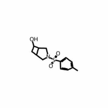 Cc1ccc(S(=O)(=O)N2CC3CC(O)C3C2)cc1